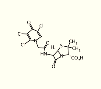 CC1(C)S[C@@H]2C(NC(=O)Cn3cc(Cl)c(=O)c(Cl)c3Cl)C(=O)N2[C@H]1C(=O)O